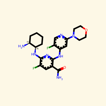 NC(=O)c1cc(F)c(N[C@@H]2CCCC[C@@H]2N)nc1Nc1cc(N2CCOCC2)ncc1F